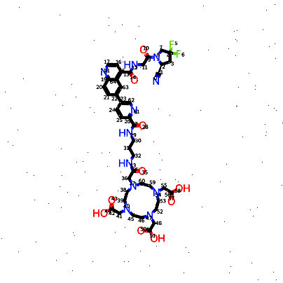 N#C[C@@H]1CC(F)(F)CN1C(=O)CNC(=O)c1ccnc2ccc(-c3ccc(C(=O)NCCCNC(=O)CN4CCN(CC(=O)O)CCN(CC(=O)O)CCN(CC(=O)O)CC4)nc3)cc12